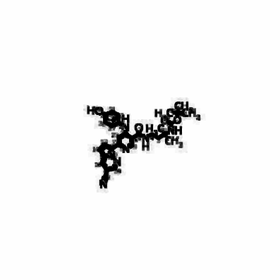 CC(C)(CCNC(=O)c1cnc(-c2ccc3cc(C#N)cnn23)cc1NC12CCC(O)(CC1)CC2)NC(=O)OC(C)(C)C